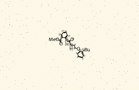 CCC(C)c1ccccc1OCCNC(=O)Nc1ccccc1C(=O)OC